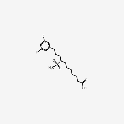 CS(=O)(=O)N(CCCCCCC(=O)O)CCCc1cc(F)cc(F)c1